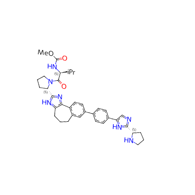 COC(=O)N[C@H](C(=O)N1CCC[C@H]1c1nc2c([nH]1)CCCc1cc(-c3ccc(-c4cnc([C@@H]5CCCN5)[nH]4)cc3)ccc1-2)C(C)C